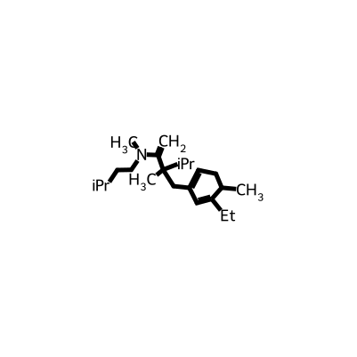 C=C(N(C)CCC(C)C)C(C)(CC1=CCC(C)C(CC)=C1)C(C)C